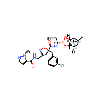 CC(C)C[C@H](NC(=O)C1(Cc2cccc(Cl)c2)CC(CNC(=O)c2ccnn2C(C)C)=NO1)B1O[C@@H]2C[C@@H]3C[C@@H](C3(C)C)[C@]2(C)O1